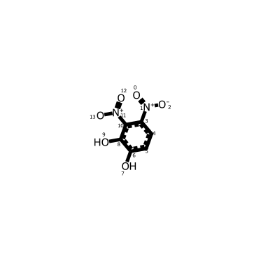 O=[N+]([O-])c1ccc(O)c(O)c1[N+](=O)[O-]